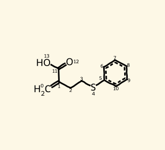 C=C(CCSc1ccccc1)C(=O)O